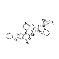 C=CC(=C)NC1CCCC[C@H]1NC(=O)c1sc2nccc3c2c1NC(=O)N3c1cnc(Oc2ccccc2)cc1C